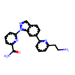 NCCc1cccc(-c2ccc3cnn(-c4cccc(C(N)=O)n4)c3c2)n1